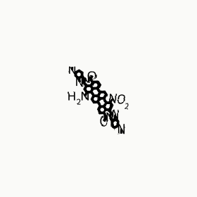 CN(C)c1ccc2c(c1)nc1c3cc(N)c4c5ccc6c7ccc8c(=O)n9c%10ccc(N(C)C)cc%10nc9c9cc([N+](=O)[O-])c(c%10ccc(c%11ccc(c(=O)n21)c3c%114)c5c6%10)c7c89